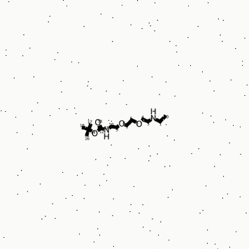 CCNCCOCCOCCNC(=O)OC(C)(C)C